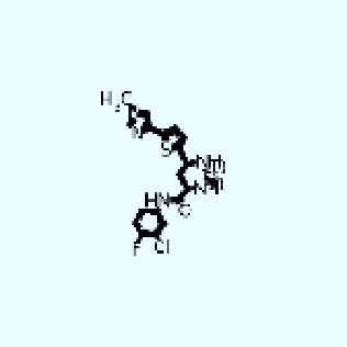 Cn1cnc(-c2ccc(C3CC(C(=O)Nc4ccc(F)c(Cl)c4)NS(=O)(=O)N3)s2)c1